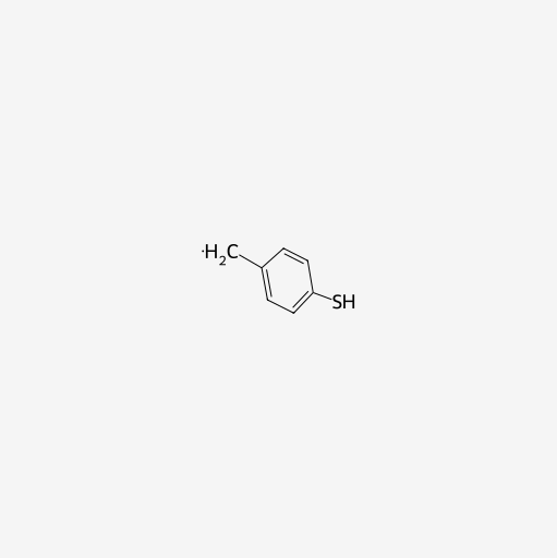 [CH2]c1ccc(S)cc1